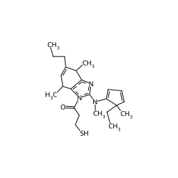 CCCC1=CC(C)c2c(nc(N(C)C3=CC=CC3(C)CC)n2C(=O)CCS)C1C